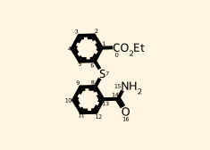 CCOC(=O)c1ccccc1Sc1ccccc1C(N)=O